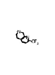 FC(F)(F)c1ccc2c(n1)C[N]CC2